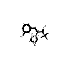 CC(C)(C)C(=O)C(=Cc1cccc(I)c1)n1cncn1